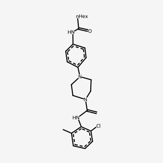 C=C(Nc1c(C)cccc1Cl)N1CCN(c2ccc(NC(=O)CCCCCC)cc2)CC1